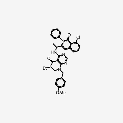 CCN1CN(Cc2ccc(OC)cc2)c2ncnc(NC(C)c3cc4cccc(Cl)c4c(=O)n3-c3ccccc3)c2C1=O